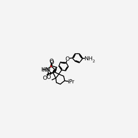 CC(C)C1CCC(C)(C2=CC(=O)NC2=O)C(C2=CC(=O)NC2=O)(c2ccc(Oc3ccc(N)cc3)cc2)C1